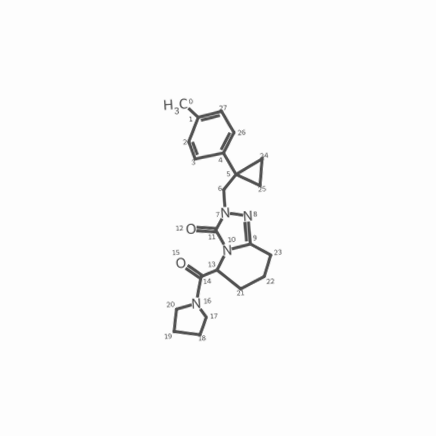 Cc1ccc(C2(Cn3nc4n(c3=O)C(C(=O)N3CCCC3)CCC4)CC2)cc1